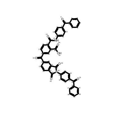 O=C(c1ccccc1)c1ccc(NC(=O)c2ccc(C(=O)c3ccc4c(c3)C(=O)N(c3ccc(C(=O)c5ccccc5)cc3)C4=O)cc2C(=O)O)cc1